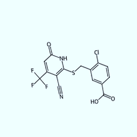 N#Cc1c(C(F)(F)F)cc(=O)[nH]c1SCc1cc(C(=O)O)ccc1Cl